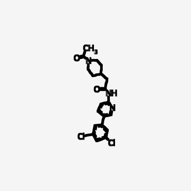 CC(=O)N1CCC(CC(=O)Nc2ccc(-c3cc(Cl)cc(Cl)c3)cn2)CC1